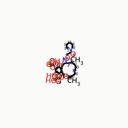 C/C1=C\C(=N/OCC(=O)N2CCCCC2)Cc2cc(OP(=O)(O)O)cc(OP(=O)(O)O)c2C(=O)O[C@H](C)C/C=C/CC1